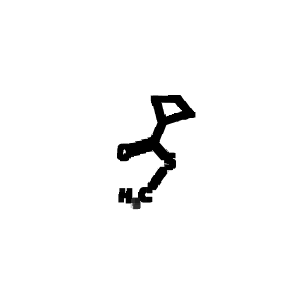 CSC(=O)C1CCC1